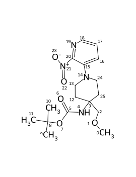 COCC1(NC(=O)OC(C)(C)C)CCN(c2cccnc2[N+](=O)[O-])CC1